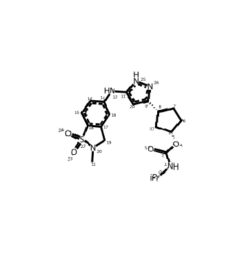 CC(C)NC(=O)O[C@H]1CC[C@@H](c2cc(Nc3ccc4c(c3)CN(C)S4(=O)=O)[nH]n2)C1